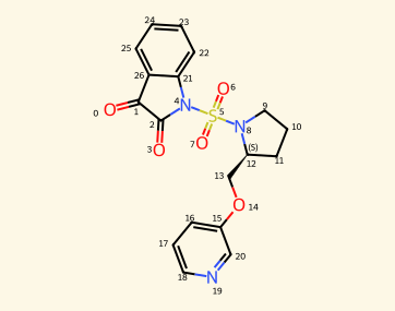 O=C1C(=O)N(S(=O)(=O)N2CCC[C@H]2COc2cccnc2)c2ccccc21